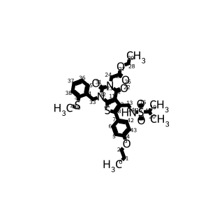 CCCOc1ccc(-c2sc3c(c2CNS(=O)(=O)C(C)C)c(=O)n(CC(=O)OCC)c(=O)n3Cc2ccccc2SC)cc1